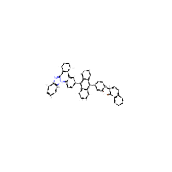 c1ccc2c(c1)ccc1c3ccc(-c4c5ccccc5c(-c5ccc6c(c5)c5ccccc5c5nc7ccccc7n65)c5ccccc45)cc3sc21